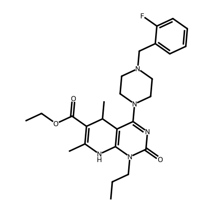 CCCn1c2c(c(N3CCN(Cc4ccccc4F)CC3)nc1=O)C(C)C(C(=O)OCC)=C(C)N2